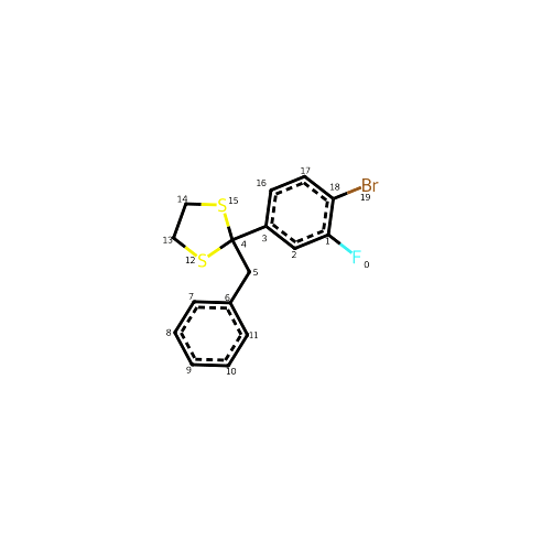 Fc1cc(C2(Cc3ccccc3)SCCS2)ccc1Br